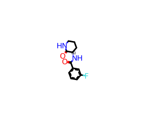 O=C(N[C@H]1CCCNC1=O)c1cccc(F)c1